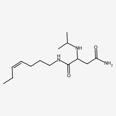 CC/C=C\CCCNC(=O)C(CC(N)=O)NC(C)C